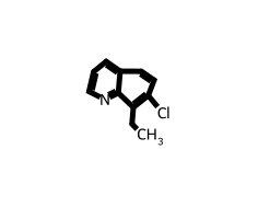 CCc1c(Cl)ccc2cccnc12